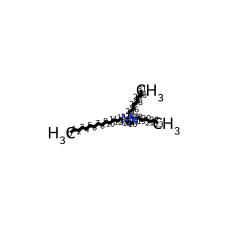 CCCCCCCCCCCCCCN1C=CN(CCCCCC)C1CCCCCCC